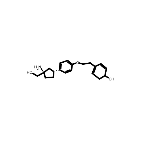 N[C@]1(CO)CC[C@@H](c2ccc(OCCC3=CCC(O)C=C3)cc2)C1